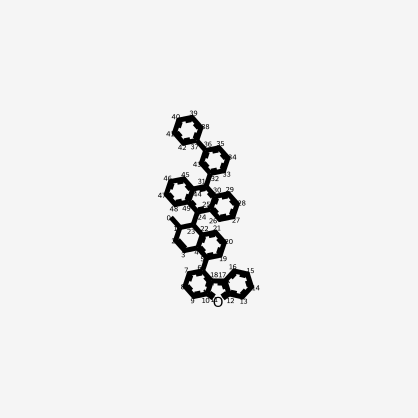 CC1C=Cc2c(-c3cccc4oc5ccccc5c34)cccc2C1c1c2ccccc2c(-c2cccc(-c3ccccc3)c2)c2ccccc12